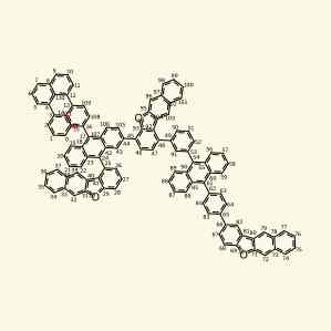 c1ccc(-c2cccc3cccc(-c4ccc(-c5c6ccccc6c(-c6cccc7oc8cc9ccccc9cc8c67)c6cc(-c7ccc(-c8cccc(-c9c%10ccccc%10c(-c%10ccc(-c%11ccc%12oc%13cc%14ccccc%14cc%13c%12c%11)cc%10)c%10ccccc9%10)c8)c8c7oc7cc9ccccc9cc78)ccc56)cc4)c23)cc1